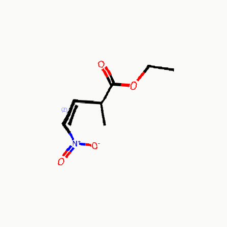 CCOC(=O)C(C)/C=C\[N+](=O)[O-]